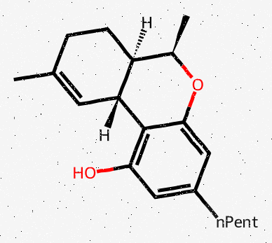 CCCCCc1cc(O)c2c(c1)O[C@H](C)[C@@H]1CCC(C)=C[C@@H]21